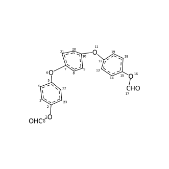 O=COc1ccc(Oc2ccc(Oc3ccc(OC=O)cc3)cc2)cc1